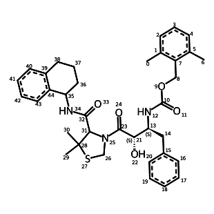 Cc1cccc(C)c1COC(=O)N[C@@H](Cc1ccccc1)[C@H](O)C(=O)N1CSC(C)(C)C1C(=O)NC1CCCc2ccccc21